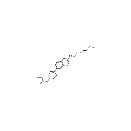 CCCCCCCOc1ccc2cc(C3=CCC(CC(C)CC)CC3)ccc2c1